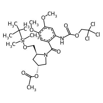 COc1cc(NC(=O)OCC(Cl)(Cl)Cl)c(C(=O)N2C[C@H](OC(C)=O)C[C@H]2CO[Si](C)(C)C(C)(C)C)cc1OC